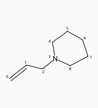 C=C[CH]N1CCCCC1